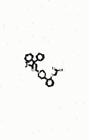 CN(C)C(=O)C(CCN1CCC(c2ccccc2OCC(=O)O)CC1)(c1ccccc1)c1ccccc1